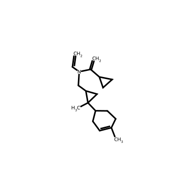 C=CN(CC1CC1(C)C1CC=C(C)CC1)C(=C)C1CC1